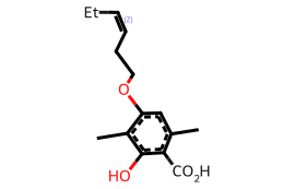 CC/C=C\CCOc1cc(C)c(C(=O)O)c(O)c1C